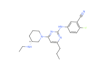 CCCc1cc(N2CCC[C@@H](NCC)C2)nc(Nc2ccc(F)c(C#N)c2)n1